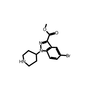 COC(=O)c1nn(C2CCNCC2)c2ccc(Br)cc12